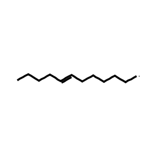 [CH2]CCCCCC=CCCCC